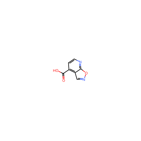 O=C(O)c1ccnc2oncc12